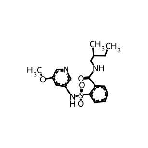 CCC(C)CNC(=O)c1ccccc1S(=O)(=O)Nc1cncc(OC)c1